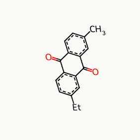 CCc1ccc2c(c1)C(=O)c1cc(C)ccc1C2=O